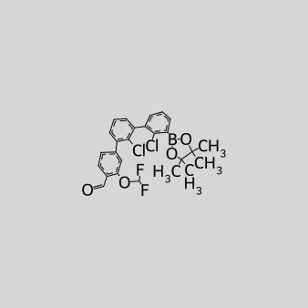 CC1(C)OB(c2cccc(-c3cccc(-c4ccc(C=O)c(OC(F)F)c4)c3Cl)c2Cl)OC1(C)C